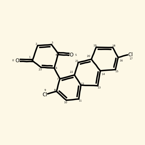 O=C1C=CC(=O)C(c2c(Cl)ccc3cc4cc(Cl)ccc4cc23)=C1